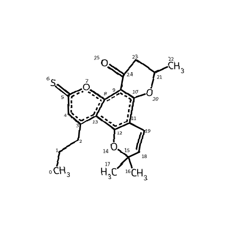 CCCc1cc(=S)oc2c3c(c4c(c12)OC(C)(C)C=C4)OC(C)CC3=O